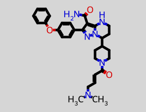 CN(C)CC=CC(=O)N1CCC(C2CCNc3c(C(N)=O)c(-c4ccc(Oc5ccccc5)cc4)nn32)CC1